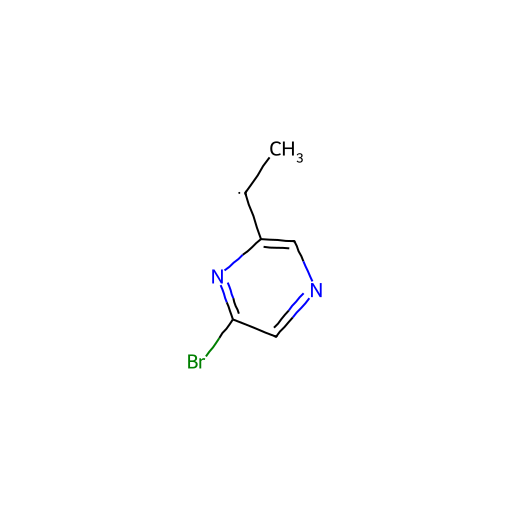 C[CH]c1cncc(Br)n1